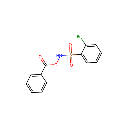 O=C(ONS(=O)(=O)c1ccccc1Br)c1ccccc1